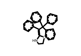 c1ccc(C(=C2NCCO2)C(c2ccccc2)(c2ccccc2)c2ccccc2)cc1